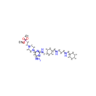 CCOP(=O)(CCN1CCN(c2cc(N)nc(NC[C@H]3CC[C@H](CNCCCNCC4CCCCC4)CC3)n2)CC1)OCC